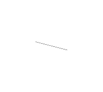 CCCCC[CH]CCCCCCCCCCCCCCCCCCCCCCCCCCC